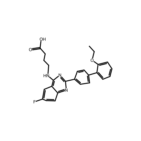 CCOc1ccccc1-c1ccc(-c2nc(NCCCC(=O)O)c3cc(F)ccc3n2)cc1